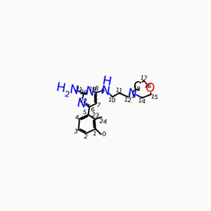 Cc1cccc(-c2cc(NCCCN3CCOCC3)nc(N)n2)c1C